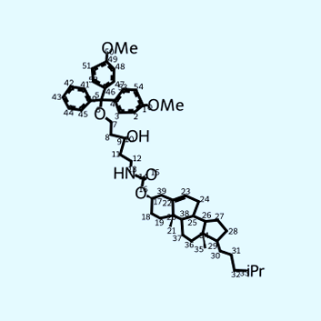 COc1ccc(C(OCCC(O)CCNC(=O)O[C@@H]2CC[C@]3(C)C(=CCC4C5CCC(CCCC(C)C)[C@]5(C)CCC43)C2)(c2ccccc2)c2ccc(OC)cc2)cc1